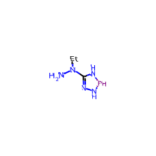 CCN(N)C1=NNPN1